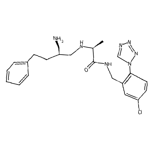 C[C@H](NC[C@H](N)CCc1ccccc1)C(=O)NCc1cc(Cl)ccc1-n1cnnn1